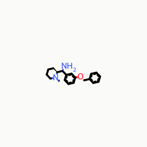 CN1CCCC[C@H]1[C@@H](N)c1cccc(OCc2ccccc2)c1